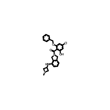 CN1CC(Nc2cccc3c2CN(C(=O)c2c(O)cc(Cl)cc2OCc2ccccc2)C3)C1